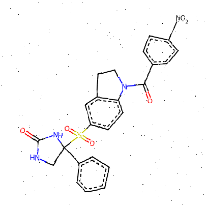 O=C1NCC(c2ccccc2)(S(=O)(=O)c2ccc3c(c2)CCN3C(=O)c2ccc([N+](=O)[O-])cc2)N1